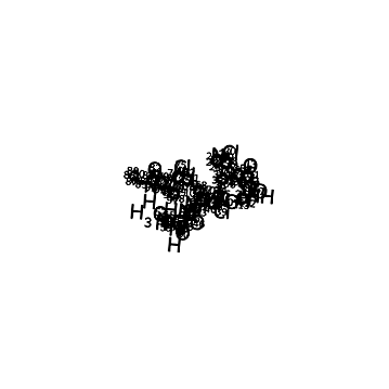 COc1ccc(NS(=O)(=O)Cc2cc(=O)c3cc(-c4cc(Cl)c5ncccc5c4)c(-c4cccc(-c5cnc6c(Cl)cc(-c7cc8c(=O)c(CS(=O)(=O)Nc9ccc(C)nc9)c[nH]c8nc7-c7cccc(-c8cnc9c(Cl)cc(-c%10cc%11c(=O)cc(CC%12CCCC%12)[nH]c%11nc%10-c%10ccccc%10)cc9c8)c7)cc6c5)c4)nc3[nH]2)cc1